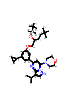 CC(C)c1cnn2c(N3CCOCC3)cc(-c3cc(OCC(C[CH]C(C)(C)C)O[Si](C)(C)C(C)(C)C)cc(C4CC4)c3)nc12